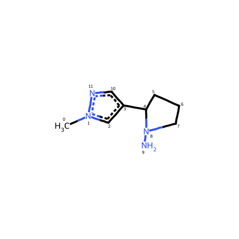 Cn1cc(C2CCCN2N)cn1